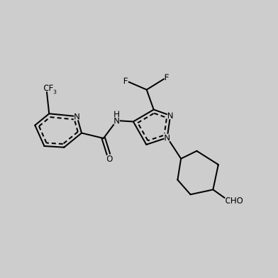 O=CC1CCC(n2cc(NC(=O)c3cccc(C(F)(F)F)n3)c(C(F)F)n2)CC1